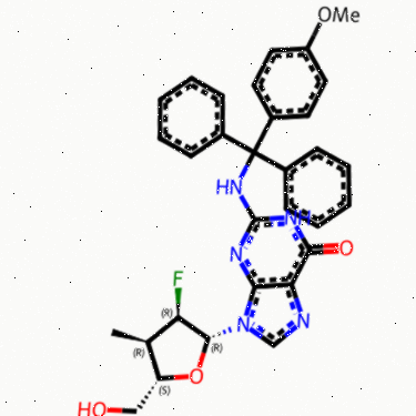 COc1ccc(C(Nc2nc3c(ncn3[C@@H]3O[C@H](CO)[C@@H](C)[C@H]3F)c(=O)[nH]2)(c2ccccc2)c2ccccc2)cc1